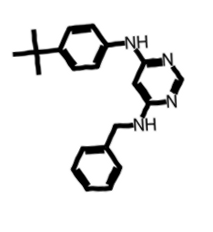 CC(C)(C)c1ccc(Nc2cc(NCc3ccccc3)ncn2)cc1